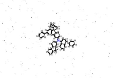 CC1(C)c2ccccc2-c2ccc(N(c3ccc4c(c3)-c3cc(-c5ccccc5)ccc3C43C4CC5CC(C4)C3C5)c3ccc(-c4ccccc4)c4ccccc34)cc21